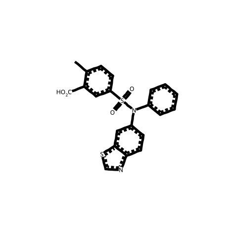 Cc1ccc(S(=O)(=O)N(c2ccccc2)c2ccc3ncsc3c2)cc1C(=O)O